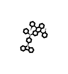 Fc1ccccc1-c1c2ccccc2c(-c2ccccc2F)c2cc(N(c3ccccc3)c3ccc(-n4c5ccccc5c5ccccc54)cc3)ccc12